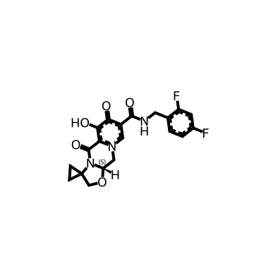 O=C(NCc1ccc(F)cc1F)c1cn2c(c(O)c1=O)C(=O)N1[C@H](C2)OCC12CC2